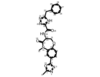 Cc1nnc(-c2ccc3c(c2)N(C)C(=O)[C@@H](NC(=O)c2nnc(Cc4ccccc4)[nH]2)CO3)o1